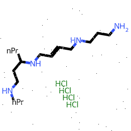 CCCNCCC(CCC)NCC=CCNCCCN.Cl.Cl.Cl.Cl